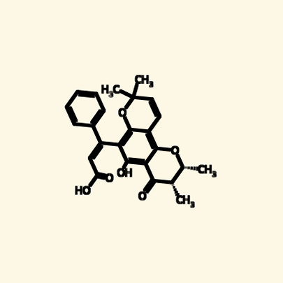 C[C@@H]1C(=O)c2c(O)c(/C(=C\C(=O)O)c3ccccc3)c3c(c2O[C@@H]1C)C=CC(C)(C)O3